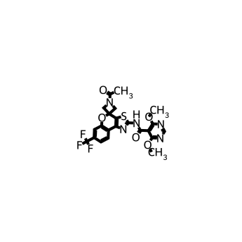 COc1ncnc(OC)c1C(=O)Nc1nc2c(s1)C1(CN(C(C)=O)C1)Oc1cc(C(F)(F)F)ccc1-2